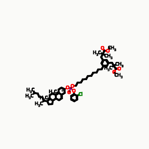 COC(=O)C(C)(C)Cc1cc(CCCCCCCCCCCOP(=O)(Oc2ccccc2Cl)O[C@@H]2CC[C@@]3(C)C(=CCC4C5CCC(C(C)CCCC(C)C)[C@@]5(C)CCC43)C2)cc(CC(C)(C)C(=O)OC)c1